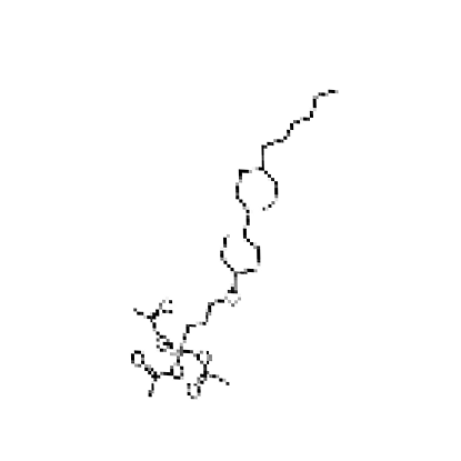 CCCCCC[C@H]1CC[C@H]([C@H]2CC[C@H](OCCC[Si](OC(C)=O)(OC(C)=O)OC(C)=O)CC2)CC1